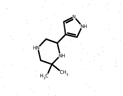 CC1(C)CNCC(c2cn[nH]c2)N1